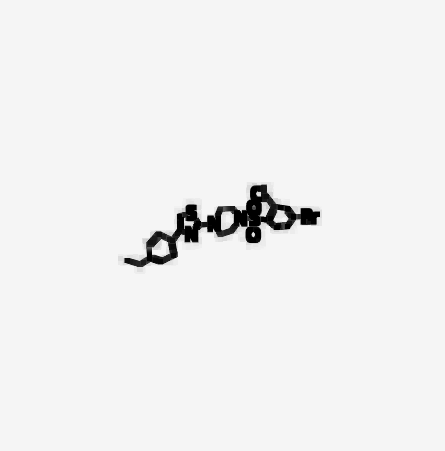 CCc1ccc(-c2csc(N3CCN(S(=O)(=O)c4ccc(Br)cc4Cl)CC3)n2)cc1